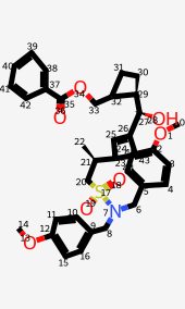 COc1ccc(CN(Cc2ccc(OC)cc2)S(=O)(=O)C[C@@H](C)C2(C)C=C([C@H](O)[C@@H]3CCC3COC(=O)c3ccccc3)C2)cc1